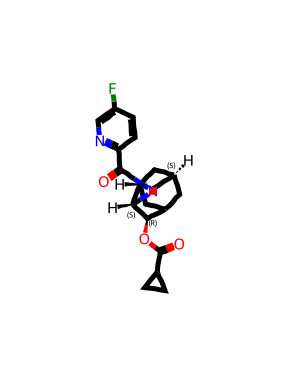 O=C(O[C@@H]1C2C[C@@H]3C[C@H](C2)[C@@H]1N(C(=O)c1ccc(F)cn1)C3)C1CC1